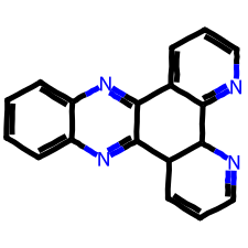 C1=CC2c3nc4ccccc4nc3-c3cccnc3C2N=C1